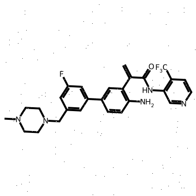 C=C(C(=O)Nc1cnccc1C(F)(F)F)c1cc(-c2cc(F)cc(CN3CCN(C)CC3)c2)ccc1N